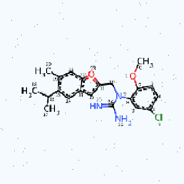 COc1ccc(Cl)cc1N(Cc1cc2cc(C(C)C)c(C)cc2o1)C(=N)N